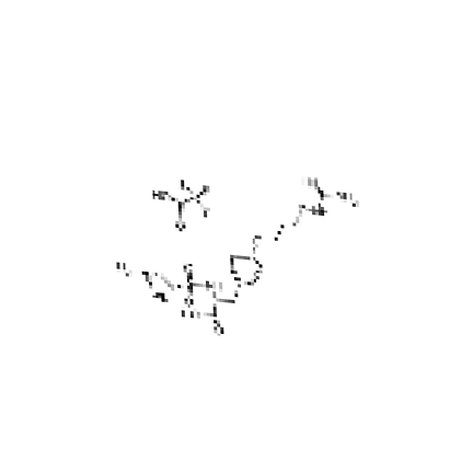 Cn1cnc(S(=O)(=O)N[C@@H](Cc2ccc(OCCCONC(=N)N)cc2)C(=O)O)c1.O=C(O)C(F)(F)F